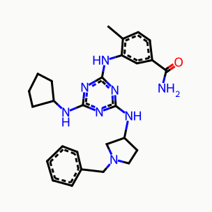 Cc1ccc(C(N)=O)cc1Nc1nc(NC2CCCC2)nc(NC2CCN(Cc3ccccc3)C2)n1